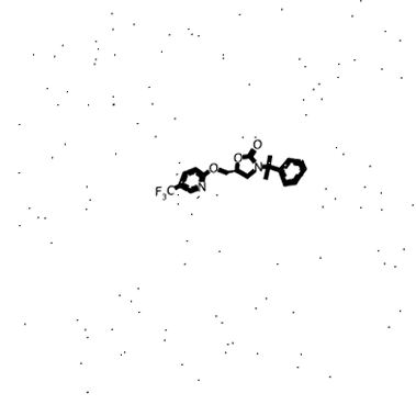 CC(C)(c1ccccc1)N1C[C@@H](COc2ccc(C(F)(F)F)cn2)OC1=O